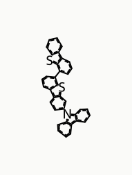 c1ccc2c(c1)sc1c(-c3cccc4c3sc3cc(-n5c6ccccc6c6ccccc65)ccc34)cccc12